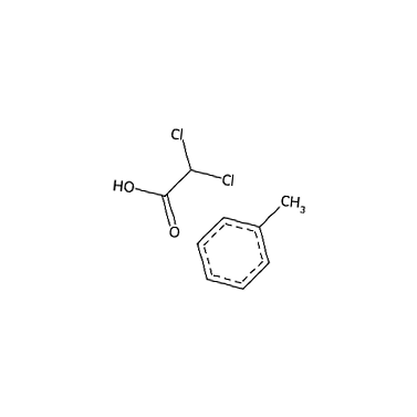 Cc1ccccc1.O=C(O)C(Cl)Cl